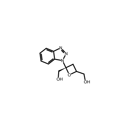 OCC1C[C@@](CO)(n2nnc3ccccc32)O1